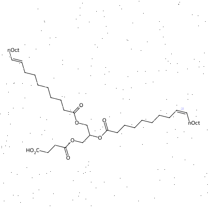 CCCCCCCCC=CCCCCCCCC(=O)OCC(COC(=O)CCC(=O)O)OC(=O)CCCCCCC/C=C\CCCCCCCC